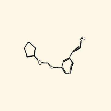 CC(=O)/C=C/c1cccc(OCOC2CCCC2)c1